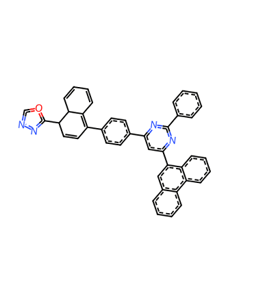 C1=CC2=C(c3ccc(-c4cc(-c5cc6ccccc6c6ccccc56)nc(-c5ccccc5)n4)cc3)C=CC(c3nnco3)C2C=C1